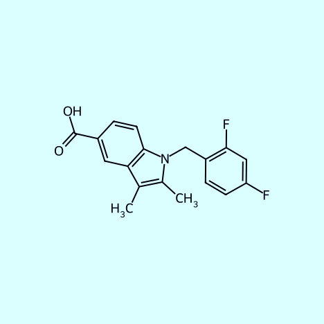 Cc1c(C)n(Cc2ccc(F)cc2F)c2ccc(C(=O)O)cc12